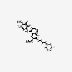 COc1cc2c(Nc3cc(C)c(O)c(C)c3)c(C#N)cnc2cc1OCCCN1CCOCC1